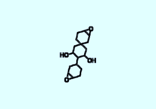 OC1CC2(CCC3OC3C2)CC(O)C1C1CCC2OC2C1